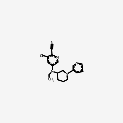 CCN(c1cnc(C#N)c(Cl)c1)C1CCCN(c2cccnc2)C1